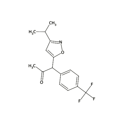 CC(=O)C(c1ccc(C(F)(F)F)cc1)c1cc(C(C)C)no1